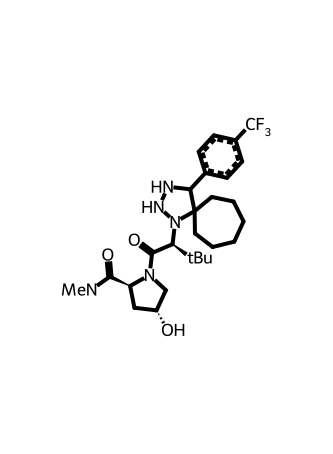 CNC(=O)[C@@H]1C[C@@H](O)CN1C(=O)[C@@H](N1NNC(c2ccc(C(F)(F)F)cc2)C12CCCCCC2)C(C)(C)C